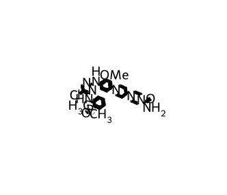 COc1cc(N2CCC(N3CCN(C(N)=O)CC3)CC2)ccc1Nc1ncc(Cl)c(Nc2ccccc2P(C)(C)=O)n1